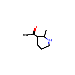 CC1NCCCC1C(=O)C(C)(C)C